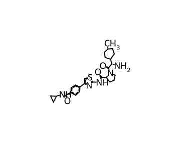 CC1CCC([C@@H](N)C(=O)N2CCC[C@H]2C(=O)Nc2nc(-c3ccc(C(=O)NC4CC4)cc3)cs2)CC1